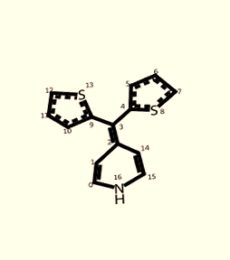 C1=CC(=C(c2cccs2)c2cccs2)C=CN1